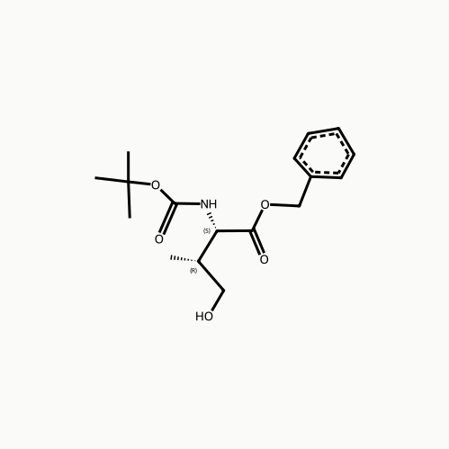 C[C@@H](CO)[C@H](NC(=O)OC(C)(C)C)C(=O)OCc1ccccc1